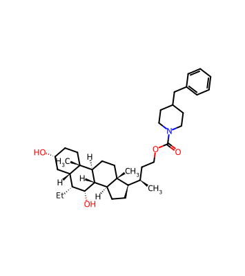 CC[C@H]1[C@@H](O)[C@@H]2[C@H](CC[C@]3(C)[C@@H]([C@H](C)CCOC(=O)N4CCC(Cc5ccccc5)CC4)CC[C@@H]23)[C@@]2(C)CC[C@@H](O)C[C@@H]12